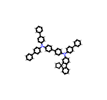 c1ccc(-c2ccc(N(c3ccc(-c4ccccc4)cc3)c3ccc(-c4ccc(N(c5ccc(-c6ccccc6)cc5)c5ccc6c(c5)C5(CCCC5)c5ccccc5-6)cc4)cc3)cc2)cc1